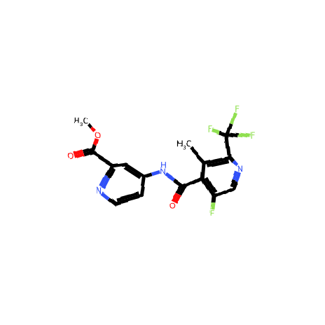 COC(=O)c1cc(NC(=O)c2c(F)cnc(C(F)(F)F)c2C)ccn1